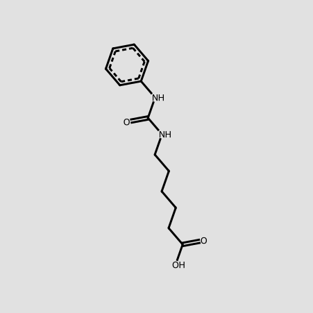 O=C(O)CCCCCNC(=O)Nc1ccccc1